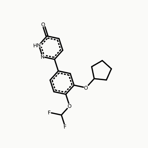 O=c1ccc(-c2ccc(OC(F)F)c(OC3CCCC3)c2)n[nH]1